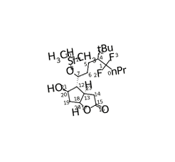 CCCC(F)(F)C(CCC(O[SiH](C)C)[C@@H]1[C@H]2CC(=O)O[C@H]2C[C@H]1O)C(C)(C)C